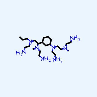 CCCN(CCN)CC(C1CCCC(N(CCN)CCN(C)CCN)C1)N(C)CCN